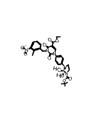 CCOC(=O)c1cn(-c2ccc(N3CCN(C(=O)OC(C)(C)C)S3(O)O)cc2)c(=O)n(Cc2cccc([N+](=O)[O-])c2C)c1=O